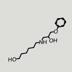 OCCCCCCNCC(O)COc1ccccc1